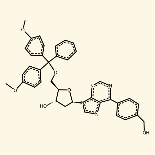 COc1ccc(C(OC[C@H]2O[C@@H](n3cnc4c(-c5ccc(CO)cc5)ncnc43)C[C@@H]2O)(c2ccccc2)c2ccc(OC)cc2)cc1